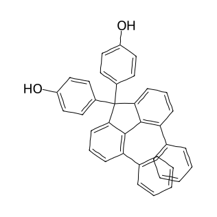 Oc1ccc(C2(c3ccc(O)cc3)c3cccc(-c4ccccc4)c3-c3c(-c4ccccc4)cccc32)cc1